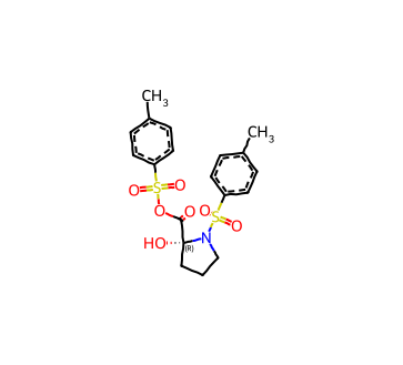 Cc1ccc(S(=O)(=O)OC(=O)[C@]2(O)CCCN2S(=O)(=O)c2ccc(C)cc2)cc1